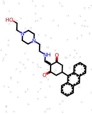 O=C1CC(c2c3ccccc3cc3ccccc23)CC(=O)C1=CNCCN1CCN(CCO)CC1